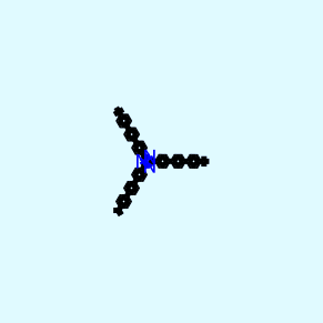 C=C(C)c1ccc(-c2ccc(-c3ccc(-c4nc(-c5ccc(-c6ccc(-c7ccc(C(C)(C)C)cc7)cc6)cc5)nc(-c5ccc(-c6ccc(-c7ccc(C(C)(C)C)cc7)cc6)cc5)n4)cc3)cc2)cc1